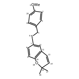 COc1ccc(CSc2ccc3c(c2)C=CC(C)(C)O3)cc1